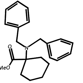 COC(=O)C1(N(Cc2ccccc2)Cc2ccccc2)CCCCC1